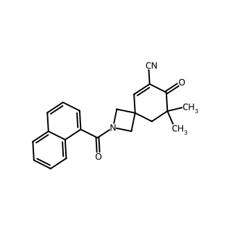 CC1(C)CC2(C=C(C#N)C1=O)CN(C(=O)c1cccc3ccccc13)C2